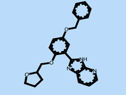 c1ccc(COc2ccc(OCC3CCCO3)c(-c3nc4cccnc4[nH]3)c2)cc1